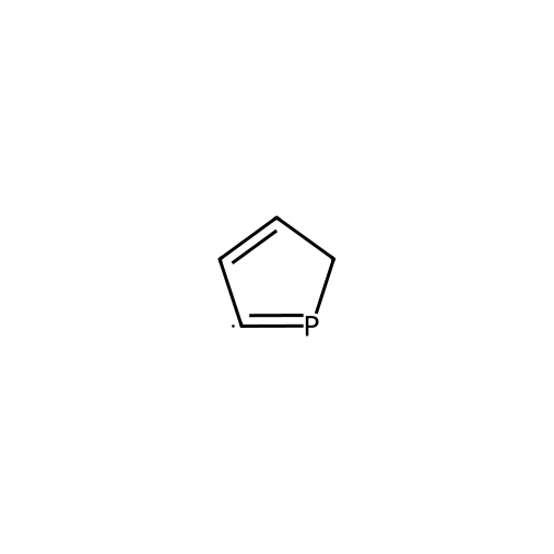 [C]1=PCC=C1